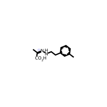 C/C(=N/NCCc1cccc(C)c1)C(=O)O